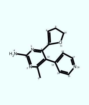 Cc1nc(N)nc(C2=CCCO2)c1-c1ccncc1